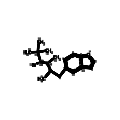 CC(Cc1ccc2occc2c1)N(C)[S@@+]([O-])C(C)(C)C